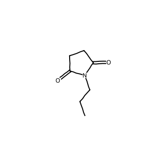 CCCN1C(=O)CCC1=O